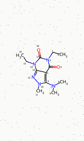 CCn1c(=O)c2c(N(C)C)n(C)nc2n(CC)c1=O